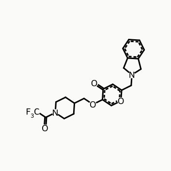 O=C(N1CCC(COc2coc(CN3Cc4ccccc4C3)cc2=O)CC1)C(F)(F)F